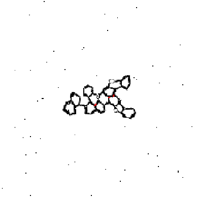 c1ccc(-c2cccc3ccccc23)c(-c2ccccc2N(c2ccc3c(c2)oc2ccccc23)c2ccccc2-c2cccc3c2oc2ccccc23)c1